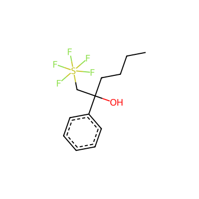 CCCCC(O)(CS(F)(F)(F)(F)F)c1ccccc1